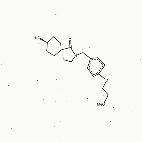 COCCOc1ccc(CN2CC[C@]3(CC[C@H](C)CC3)C2=O)cc1